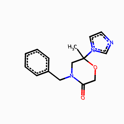 CC1(n2ccnc2)CN(Cc2ccccc2)C(=O)CO1